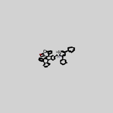 c1ccc(-c2c[nH]/c(=N\Cc3ccc4c(c3)C3(c5ccccc5Oc5ccccc53)c3c-4c4ccccc4c4ccccc34)c(-c3ccccc3)c2)cc1